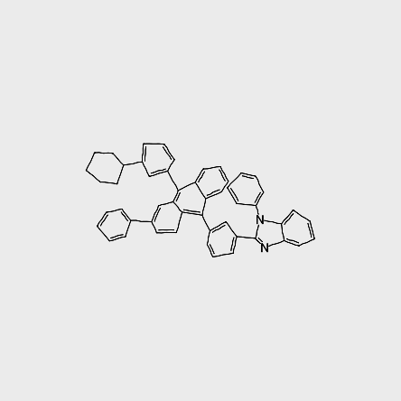 c1ccc(-c2ccc3c(-c4cccc(-c5nc6ccccc6n5-c5ccccc5)c4)c4ccccc4c(-c4cccc(C5CCCCC5)c4)c3c2)cc1